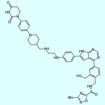 CC(C)(C)c1noc(C(=O)NCc2ccc(-c3ncnc4[nH]c(-c5ccc(NCCNCC6CCN(c7ccc(N8CCC(=O)NC8=O)cc7)CC6)cc5)cc34)cc2CO)n1